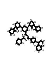 c1ccc(-c2nc(-c3ccc(-c4ccnc5ccccc45)cc3)cc(-c3cc(-c4cccc5c4oc4ccccc45)cc(-c4cccc5c4oc4ccccc45)c3)n2)cc1